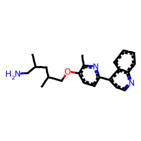 Cc1nc(-c2ccnc3ccccc23)ccc1OCC(C)CC(C)CN